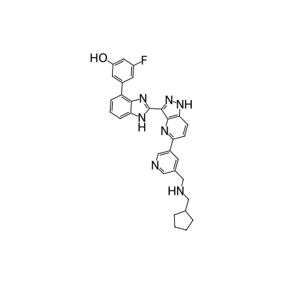 Oc1cc(F)cc(-c2cccc3[nH]c(-c4n[nH]c5ccc(-c6cncc(CNCC7CCCC7)c6)nc45)nc23)c1